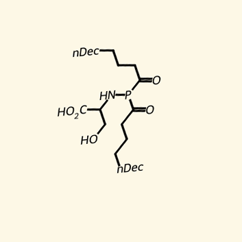 CCCCCCCCCCCCCC(=O)P(NC(CO)C(=O)O)C(=O)CCCCCCCCCCCCC